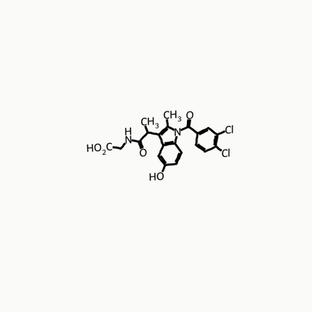 Cc1c(C(C)C(=O)NCC(=O)O)c2cc(O)ccc2n1C(=O)c1ccc(Cl)c(Cl)c1